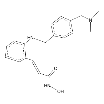 CN(C)Cc1ccc(CNc2ccccc2C=CC(=O)NO)cc1